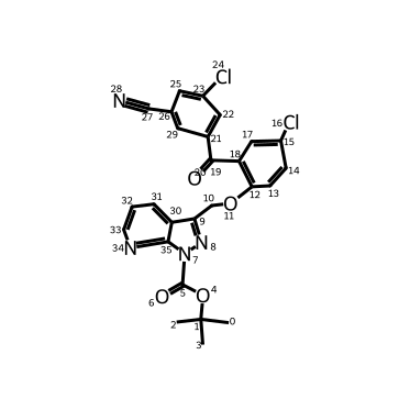 CC(C)(C)OC(=O)n1nc(COc2ccc(Cl)cc2C(=O)c2cc(Cl)cc(C#N)c2)c2cccnc21